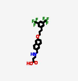 O=C(O)CCNCc1ccc2cc(OCCCc3cc(C(F)(F)F)cc(C(F)(F)F)c3)ccc2c1